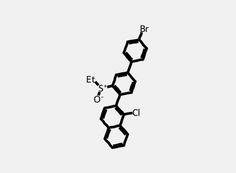 CC[S+]([O-])c1cc(-c2ccc(Br)cc2)ccc1-c1ccc2ccccc2c1Cl